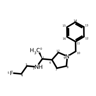 C[C@H](NCCF)C1CCN(Cc2ccccc2)C1